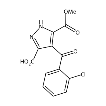 COC(=O)c1[nH]nc(C(=O)O)c1C(=O)c1ccccc1Cl